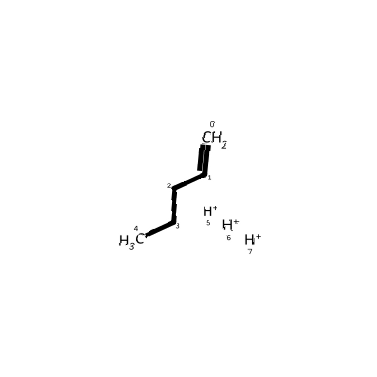 C=CCCC.[H+].[H+].[H+]